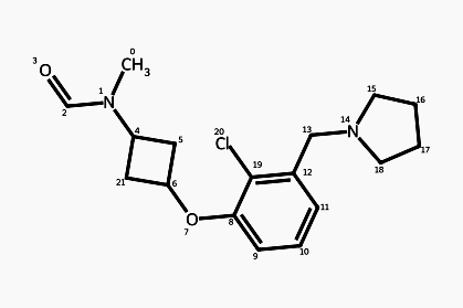 CN(C=O)C1CC(Oc2cccc(CN3CCCC3)c2Cl)C1